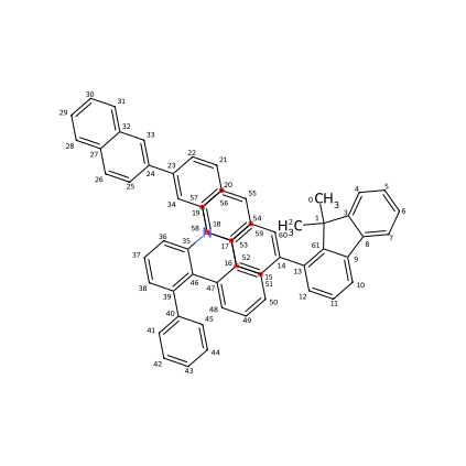 CC1(C)c2ccccc2-c2cccc(-c3ccc(N(c4cccc(-c5ccc6ccccc6c5)c4)c4cccc(-c5ccccc5)c4-c4ccccc4-c4ccccc4)cc3)c21